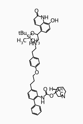 CC(C)(C)[Si](C)(C)OC(CNCCc1ccc(OCCCc2ccc(-c3ccccc3)c(NC(=O)O[C@H]3CN4CCC3CC4)c2)cc1)c1ccc(O)c2[nH]c(=O)ccc12